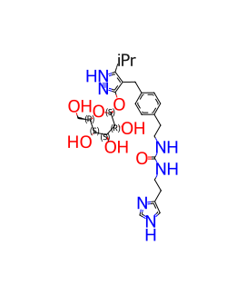 CC(C)c1[nH]nc(O[C@@H]2O[C@H](CO)[C@@H](O)[C@H](O)[C@H]2O)c1Cc1ccc(CCNC(=O)NCCc2c[nH]cn2)cc1